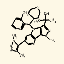 Cc1ccccc1C(C1CCOCC1)n1c2cc(-c3c(C)nnn3C)cnc2c2c1c(C(C)(C)O)nn2C